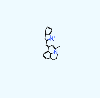 CC1=C/C(=C\C2=[N+](C)c3ccccc3C2)c2cccc3c2N1CCC3